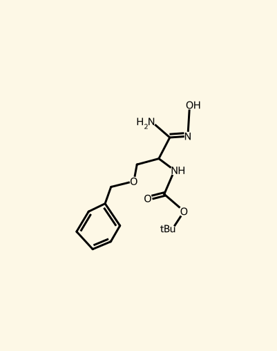 CC(C)(C)OC(=O)NC(COCc1ccccc1)/C(N)=N/O